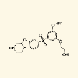 CC(C)Oc1cc(OCCO)cc(S(=O)(=O)c2ccc3c(c2)OC2CNCCC32)c1